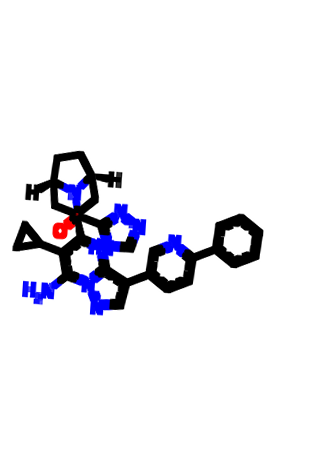 Nc1c(C2CC2)c([C@@H]2C[C@H]3CC[C@@H](C2)N3C(=O)c2nnc[nH]2)nc2c(-c3ccc(-c4ccccc4)nc3)cnn12